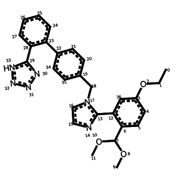 CCOc1ccc(C(OC)OC)c(-c2nccn2Cc2ccc(-c3ccccc3-c3nnn[nH]3)cc2)c1